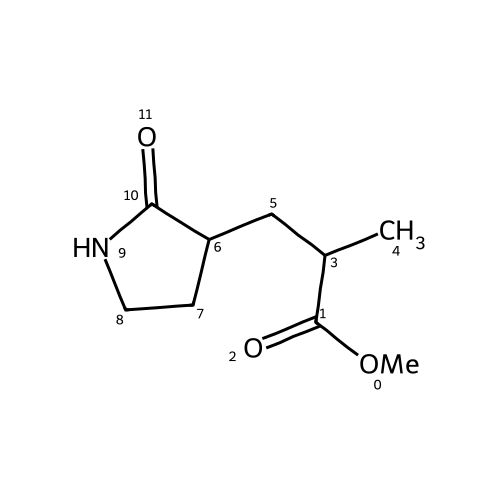 COC(=O)C(C)CC1CCNC1=O